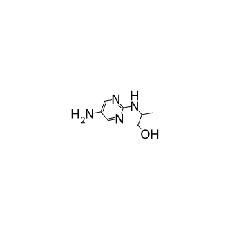 CC(CO)Nc1ncc(N)cn1